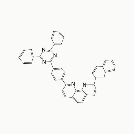 c1ccc(-c2nc(-c3ccccc3)nc(-c3ccc(-c4ccc5ccc6ccc(-c7ccc8ccccc8c7)nc6c5n4)cc3)n2)cc1